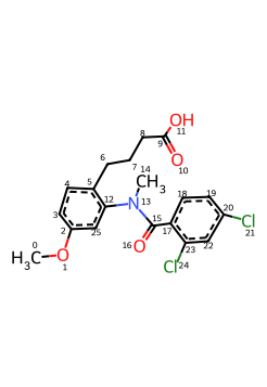 COc1ccc(CCCC(=O)O)c(N(C)C(=O)c2ccc(Cl)cc2Cl)c1